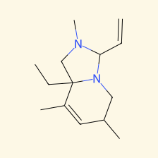 C=CC1N(C)CC2(CC)C(C)=CC(C)CN12